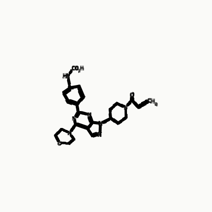 C=CC(=O)N1CCC(n2ncc3c(N4CCOCC4)nc(-c4ccc(NC(=O)O)cc4)nc32)CC1